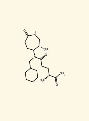 C[C@@H](C[CH]C(=O)N(CC1CCCCC1)[C@H]1CCC(=O)NC[C@@H]1O)C(N)=O